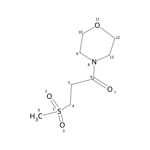 CS(=O)(=O)CCC(=O)N1CCOCC1